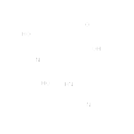 CCc1nc(C)c[nH]1.O=C(O)c1cc(O)nc(O)c1